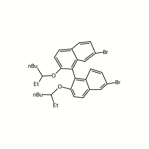 CCCCC(CC)Oc1ccc2cc(Br)ccc2c1-c1c(OC(CC)CCCC)ccc2ccc(Br)cc12